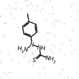 Cc1ccc(N(N)NC(N)=S)cc1